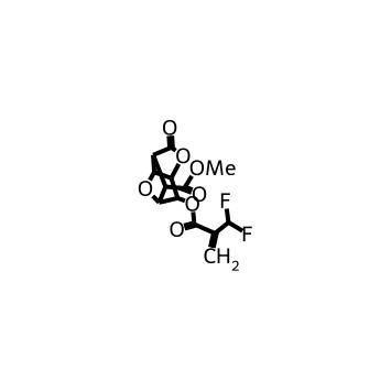 C=C(C(=O)OC1C2OC(=O)C3C2OC1C3C(=O)OC)C(F)F